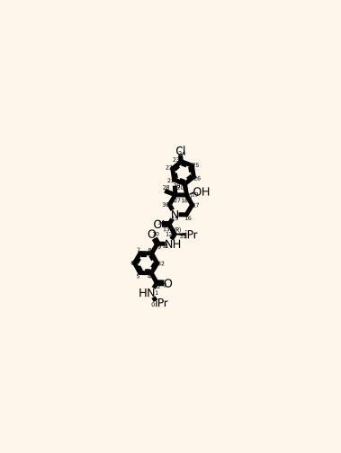 CC(C)NC(=O)c1cccc(C(=O)N[C@@H](C(=O)N2CC[C@](O)(c3ccc(Cl)cc3)C(C)(C)C2)C(C)C)c1